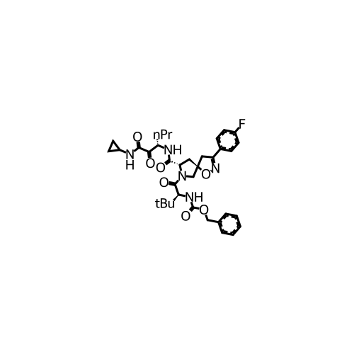 CCC[C@H](NC(=O)[C@@H]1C[C@]2(CC(c3ccc(F)cc3)=NO2)CN1C(=O)[C@@H](NC(=O)OCc1ccccc1)C(C)(C)C)C(=O)C(=O)NC1CC1